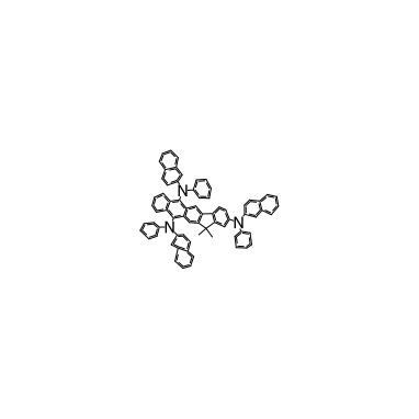 CC1(C)c2cc(N(c3ccccc3)c3ccc4ccccc4c3)ccc2-c2cc3c(N(c4ccccc4)c4ccc5ccccc5c4)c4ccccc4c(N(c4ccccc4)c4ccc5ccccc5c4)c3cc21